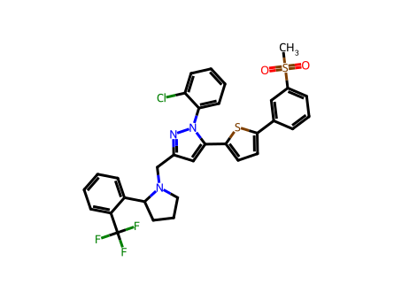 CS(=O)(=O)c1cccc(-c2ccc(-c3cc(CN4CCCC4c4ccccc4C(F)(F)F)nn3-c3ccccc3Cl)s2)c1